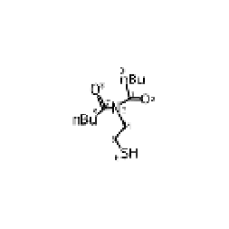 CCCCC(=O)N(CCS)C(=O)CCCC